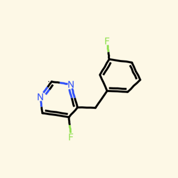 Fc1cccc(Cc2n[c]ncc2F)c1